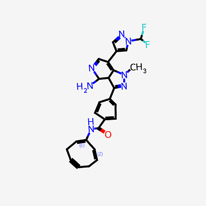 CN1N=C(c2ccc(C(=O)NC3=C/CC#CC/C=C\3)cc2)C2C1=C(c1cnn(C(F)F)c1)C=NC2N